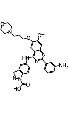 COc1cc2nc(-c3cccc(N)c3)nc(Nc3ccc4c(cnn4C(=O)O)c3)c2cc1OCCCN1CCOCC1